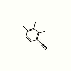 [C]#Cc1ccc(C)c(C)c1C